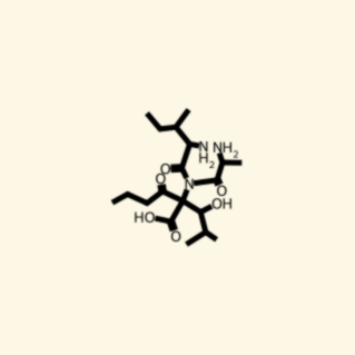 CCCC(=O)C(C(=O)O)(C(O)C(C)C)N(C(=O)C(C)N)C(=O)C(N)C(C)CC